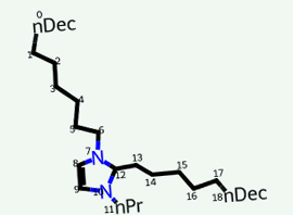 CCCCCCCCCCCCCCCCN1C=CN(CCC)C1CCCCCCCCCCCCCCC